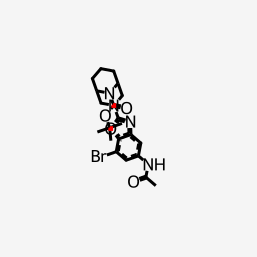 CC(=O)Nc1cc(Br)c2oc(N3CC4CCCC(C3)N4C(=O)OC(C)(C)C)nc2c1